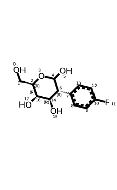 OC[C@H]1OC(O)[C@H](c2ccc(F)cc2)[C@@H](O)[C@H]1O